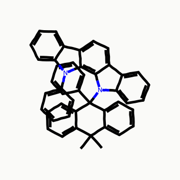 CC1(C)c2ccccc2C(c2ccccc2)(n2c3ccccc3c3ccc4c5ccccc5n(-c5ccccc5)c4c32)c2ccccc21